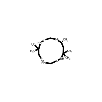 C[C@@H]1CC(C)(C)NCCNCCC(C)(C)NCCN1